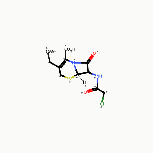 COCC1=C(C(=O)O)N2C(=O)C(NC(=O)CCl)[C@H]2SC1